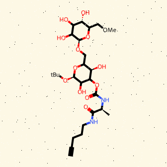 C#CCCCNC(=O)[C@H](C)NC(=O)OC1C(O)[C@@H](OC(C)(C)C)OC(CO[C@@H]2OC(COC)[C@@H](O)C(O)C2O)[C@H]1O